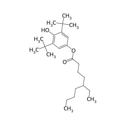 CCCCC(CC)CCCC(=O)Oc1cc(C(C)(C)C)c(O)c(C(C)(C)C)c1